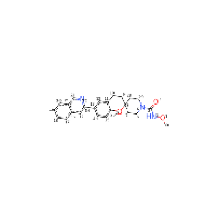 CONC(=O)N1CCC2(CCc3cc(-c4cc5ccccc5cn4)ccc3O2)CC1